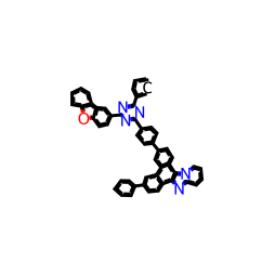 c1ccc(-c2ccc3c(c2)c2cc(-c4ccc(-c5nc(-c6ccccc6)nc(-c6ccc7oc8ccccc8c7c6)n5)cc4)ccc2c2c3nc3ccccn32)cc1